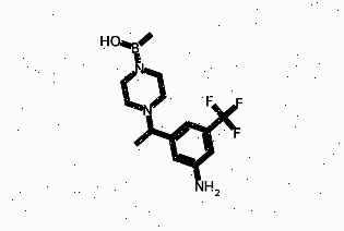 CB(O)N1CCN(C(C)c2cc(N)cc(C(F)(F)F)c2)CC1